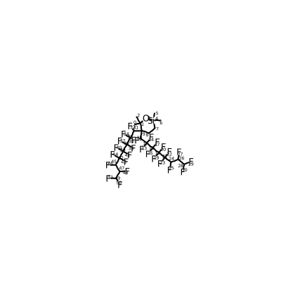 CC1(C)O[Si](C)(C)CCC1(C(F)C(F)(F)C(F)(F)C(F)(F)C(F)(F)C(F)C(F)C(F)F)C(F)C(F)(F)C(F)(F)C(F)(F)C(F)(F)C(F)C(F)C(F)F